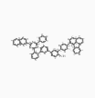 N#Cc1ccc(-c2cccc(-c3ccccc3-c3nc(-c4ccccc4)nc(-c4ccc5ccccc5c4)n3)c2)cc1-c1ccc(-c2ccc3cccc4c3c2-c2ccccc2-4)cc1